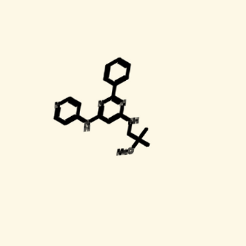 COC(C)(C)CNc1cc(Nc2ccncc2)nc(-c2ccccc2)n1